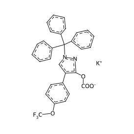 O=C([O-])Oc1nn(C(c2ccccc2)(c2ccccc2)c2ccccc2)cc1-c1ccc(OC(F)(F)F)cc1.[K+]